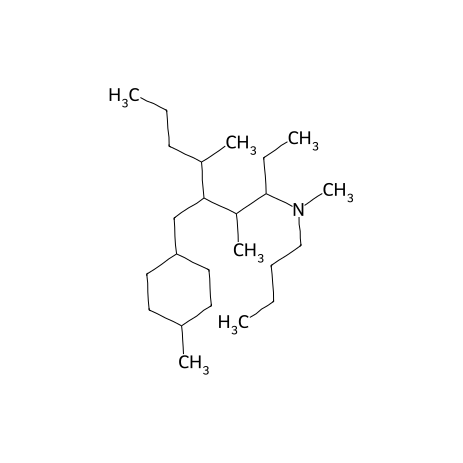 CCCCN(C)C(CC)C(C)C(CC1CCC(C)CC1)C(C)CCC